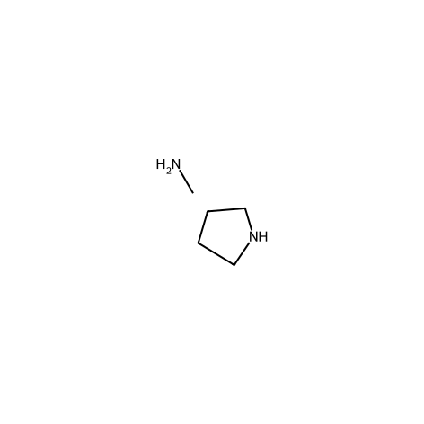 C1CCNC1.CN